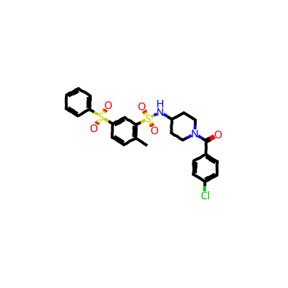 Cc1ccc(S(=O)(=O)c2ccccc2)cc1S(=O)(=O)NC1CCN(C(=O)c2ccc(Cl)cc2)CC1